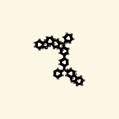 c1ccc(N(c2ccc(-c3ccc4c(c3)c3cc5c(ccc6c7ccccc7oc56)cc3n4-c3ccccc3)cc2)c2ccc3c(c2)sc2ccccc23)cc1